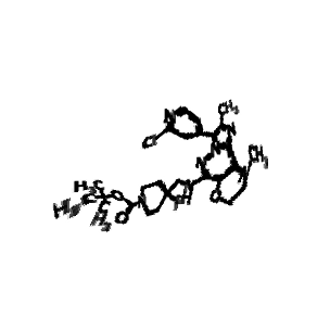 Cc1nc2c3c(c(NCC4(F)CCN(C(=O)OC(C)(C)C)CC4)nn2c1-c1ccnc(Cl)c1)OCCN3C